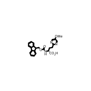 COc1cnc(CC[C@@H](NC(=O)OCC2c3ccccc3-c3ccccc32)C(=O)O)nc1